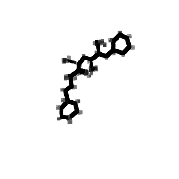 CC(C)[C@H](C[C@H](O)[C@@H](N)CC1CCCCC1)C(=O)NCCN1CCOCC1